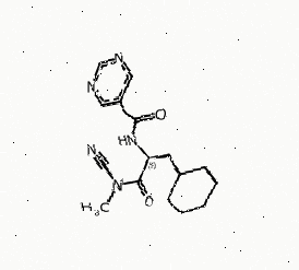 CN(C#N)C(=O)[C@H](CC1CCCCC1)NC(=O)c1cncnc1